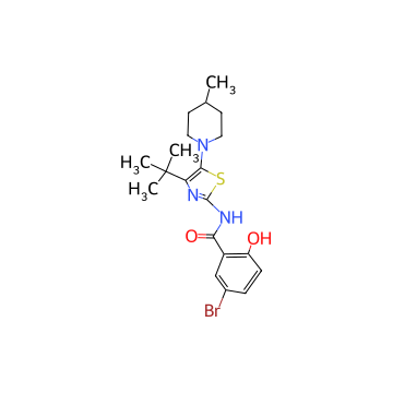 CC1CCN(c2sc(NC(=O)c3cc(Br)ccc3O)nc2C(C)(C)C)CC1